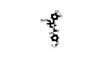 CSCC1(C)CN(C(=O)Nc2ccc(OC(F)(F)F)cc2)N=C1c1ccc(C(F)(F)F)c(Cl)c1